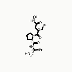 CC(C)C[C@H](CC(=O)NO)C(=O)N1CCC[C@H]1C(=O)N[C@H](C(=O)O)C(C)C